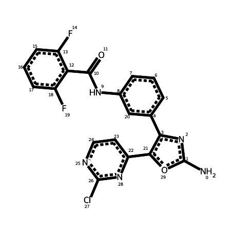 Nc1nc(-c2cccc(NC(=O)c3c(F)cccc3F)c2)c(-c2ccnc(Cl)n2)o1